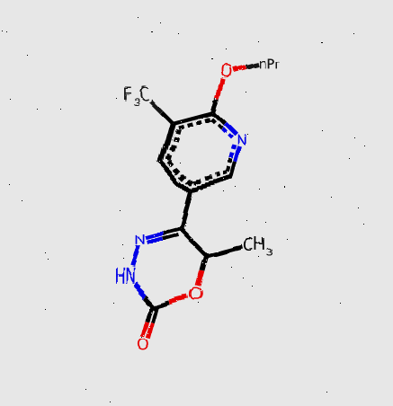 CCCOc1ncc(C2=NNC(=O)OC2C)cc1C(F)(F)F